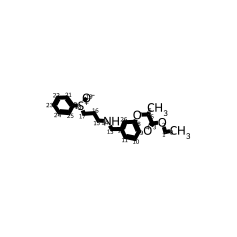 CCOC(=O)C(C)Oc1cccc(CNCCC[S+]([O-])c2ccccc2)c1